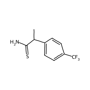 CC(C(N)=S)c1ccc(C(F)(F)F)cc1